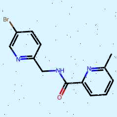 Cc1cccc(C(=O)NCc2ccc(Br)cn2)n1